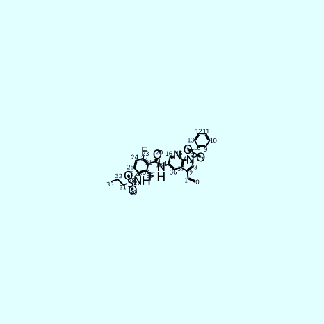 C=Cc1cn(S(=O)(=O)c2ccccc2)c2ncc(NC(=O)c3c(F)ccc(NS(=O)(=O)CCC)c3F)cc12